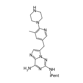 CCCC(C)Nc1nc(N)c2ncc(Cc3cnc(N4CCNCC4)c(C)c3)n2n1